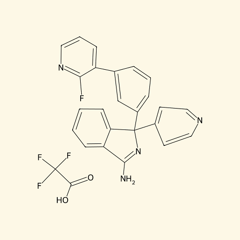 NC1=NC(c2ccncc2)(c2cccc(-c3cccnc3F)c2)c2ccccc21.O=C(O)C(F)(F)F